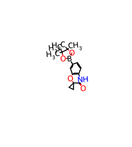 CC1(C)OB(c2ccc3c(c2)OC2(CC2)C(=O)N3)OC1(C)C